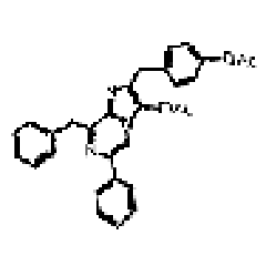 CC(=O)Oc1ccc(Cc2nc3c(Cc4ccccc4)nc(-c4ccccc4)cn3c2OC(C)=O)cc1